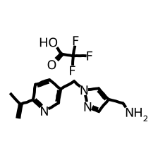 C=C(C)c1ccc(Cn2cc(CN)cn2)cn1.O=C(O)C(F)(F)F